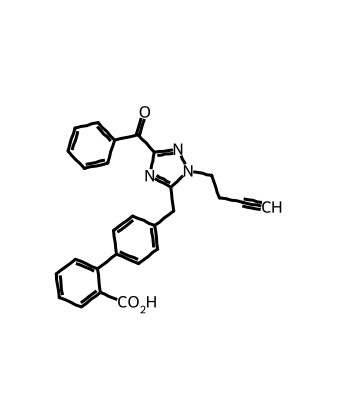 C#CCCn1nc(C(=O)c2ccccc2)nc1Cc1ccc(-c2ccccc2C(=O)O)cc1